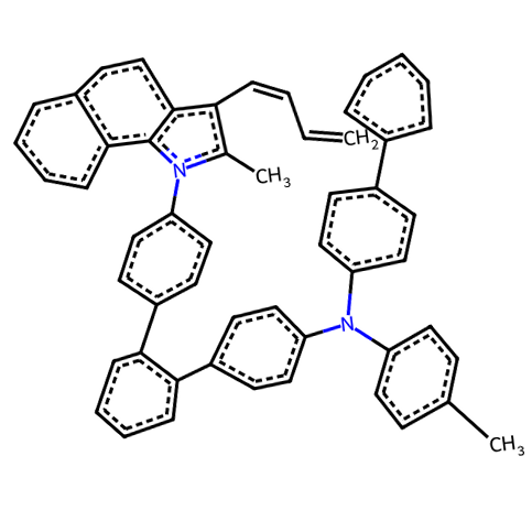 C=C/C=C\c1c(C)n(-c2ccc(-c3ccccc3-c3ccc(N(c4ccc(C)cc4)c4ccc(-c5ccccc5)cc4)cc3)cc2)c2c1ccc1ccccc12